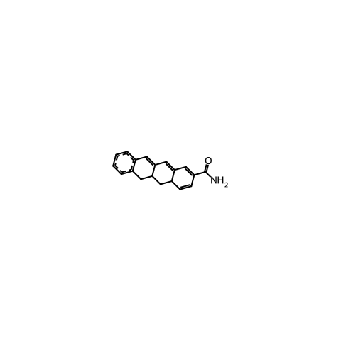 NC(=O)C1=CC2=CC3=Cc4ccccc4CC3CC2C=C1